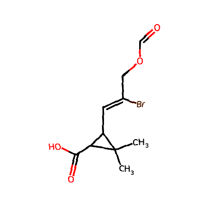 CC1(C)C(C=C(Br)COC=O)C1C(=O)O